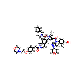 Cc1c(N(C(=O)c2cc(-c3cc4c(cc3C(=O)N3Cc5ccccc5C[C@H]3C)CN(C(=O)Cc3ccc(OCCN5CCOCC5)cc3)CC4)n(C)c2C)c2ccc(O)cc2)cnn1C1CCOCC1